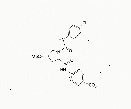 COC1CC(C(=O)Nc2ccc(C(=O)O)cc2)N(C(=O)Nc2ccc(Cl)cc2)C1